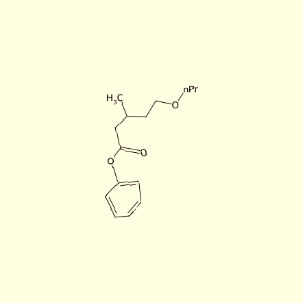 CCCOCCC(C)CC(=O)Oc1ccccc1